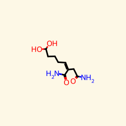 NC(=O)CC(=CCCCC(O)O)C(N)=O